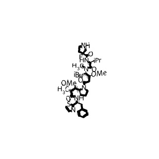 CC[C@H](C)[C@@H]([C@@H](CC(=O)N1CCC[C@H]1[C@H](OC)[C@@H](C)C(=O)N[C@@H](Cc1ccccc1)c1nccs1)OC)N(C)C(=O)[C@@H](NC(=O)[C@]1(F)CCNC1)C(C)C